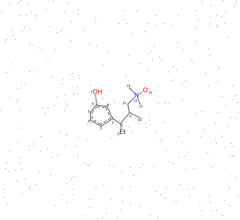 CCC(c1cccc(O)c1)C(C)C[N+](C)(C)[O-]